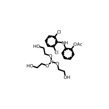 CC(=O)Oc1ccccc1Nc1c(Cl)cccc1Cl.OCCON(OCCO)OCCO